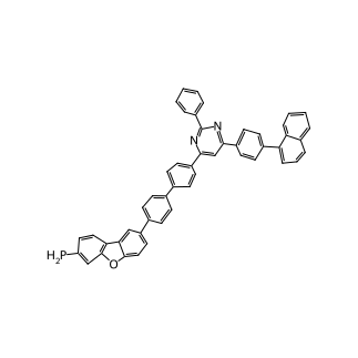 Pc1ccc2c(c1)oc1ccc(-c3ccc(-c4ccc(-c5cc(-c6ccc(-c7cccc8ccccc78)cc6)nc(-c6ccccc6)n5)cc4)cc3)cc12